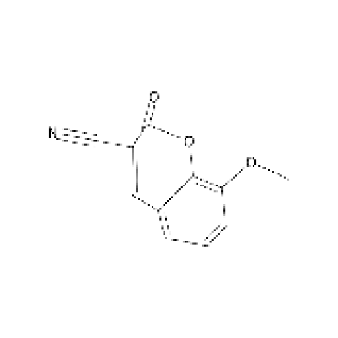 COc1cccc2cc(C#N)c(=O)oc12